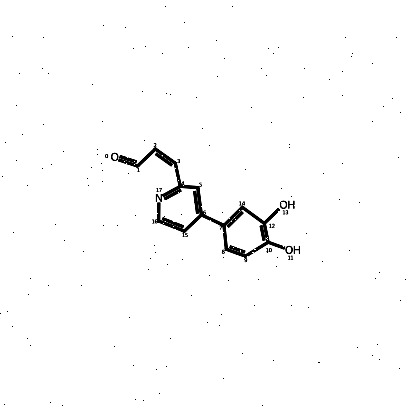 O=C/C=C\c1cc(-c2ccc(O)c(O)c2)ccn1